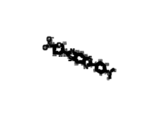 CN(C)c1ccc(-c2nc3cc4sc(-c5ccc([N+](=O)[O-])cc5)nc4cc3s2)cc1